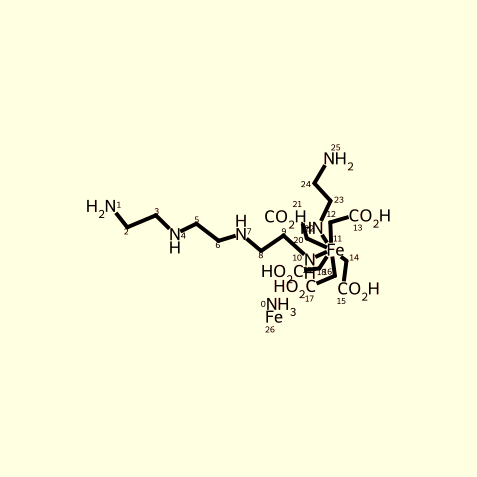 N.NCCNCCNCC[NH][Fe]([CH2]C(=O)O)([CH2]C(=O)O)([CH2]C(=O)O)([CH2]C(=O)O)([CH2]C(=O)O)[NH]CCN.[Fe]